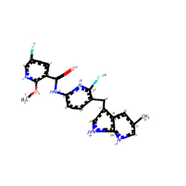 COc1ncc(F)cc1C(=O)Nc1ccc(Cc2c[nH]c3ncc(C)cc23)c(F)n1